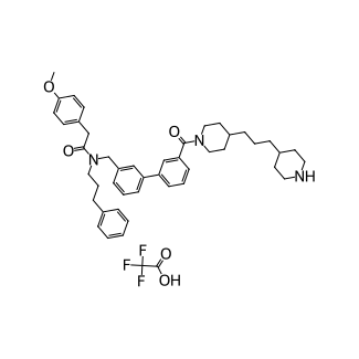 COc1ccc(CC(=O)N(CCCc2ccccc2)Cc2cccc(-c3cccc(C(=O)N4CCC(CCCC5CCNCC5)CC4)c3)c2)cc1.O=C(O)C(F)(F)F